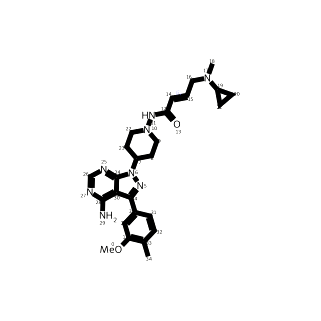 COc1cc(-c2nn(C3CCN(NC(=O)/C=C/CN(C)C4CC4)CC3)c3ncnc(N)c23)ccc1C